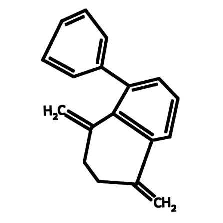 C=C1CCC(=C)c2c1cccc2-c1ccccc1